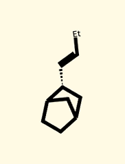 CCC=C[C@@H]1CC2CCC1C2